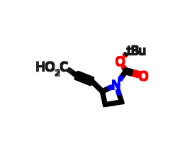 CC(C)(C)OC(=O)N1CCC1C#CC(=O)O